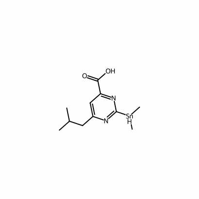 CC(C)Cc1cc(C(=O)O)n[c]([SnH]([CH3])[CH3])n1